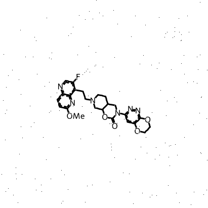 COc1ccc2ncc(F)c(CCN3CCC4CN(c5cc6c(nn5)OCCO6)C(=O)OC4C3)c2n1